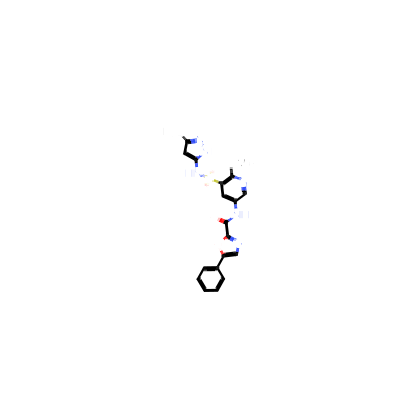 COc1ncc(NC(=O)c2ncc(-c3ccccc3)o2)cc1S(=O)(=O)Nc1cc(C(F)(F)F)n[nH]1